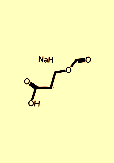 O=COC[CH]C(=O)O.[NaH]